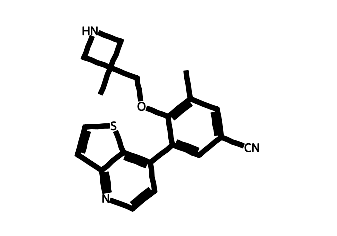 Cc1cc(C#N)cc(-c2ccnc3ccsc23)c1OCC1(C)CNC1